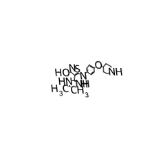 CC(C)NC(=N)c1c(O)nsc1Nc1ccc(OC2CCNCC2)cc1